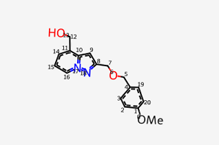 COc1ccc(COCc2cc3c(CO)cccn3n2)cc1